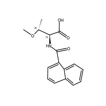 CO[C@H](C)[C@H](NC(=O)c1cccc2ccccc12)C(=O)O